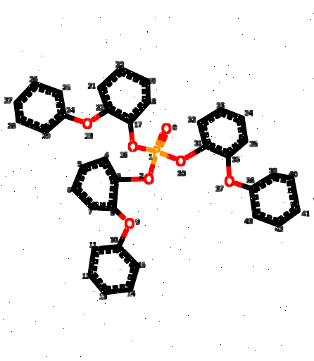 O=P(Oc1ccccc1Oc1ccccc1)(Oc1ccccc1Oc1ccccc1)Oc1ccccc1Oc1ccccc1